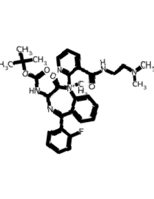 CN(C)CCNC(=O)c1cccnc1[N+]1(C)C(=O)C(NC(=O)OC(C)(C)C)N=C(c2ccccc2F)c2ccccc21